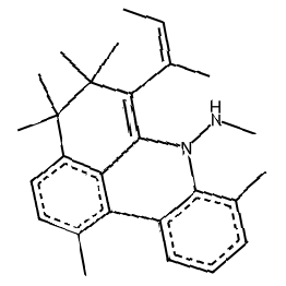 C/C=C(/C)C1=C2c3c(ccc(C)c3-c3cccc(C)c3N2NC)C(C)(C)C1(C)C